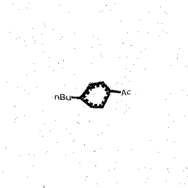 [CH2]C(=O)c1ccc(CCCC)cc1